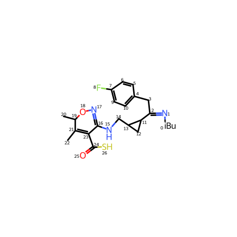 CCC(C)/N=C(/Cc1ccc(F)cc1)C1CC1CNC1=NOC(C)C(C)=C1C(=O)S